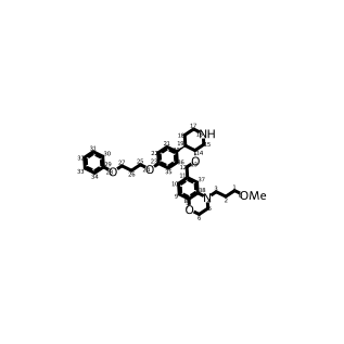 COCCCN1CCOc2ccc(CO[C@H]3CNCC[C@@H]3c3ccc(OCCCOc4ccccc4)cc3)cc21